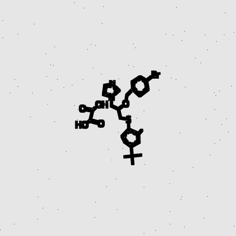 Cc1cc(C(C)(C)C)ccc1SCC(Cn1ccnc1)OCc1ccc(Br)cc1.O=C(O)C(=O)O